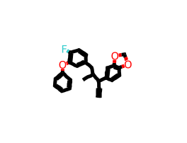 C#CC(c1ccc2c(c1)OCO2)C(C)Cc1ccc(F)c(Oc2ccccc2)c1